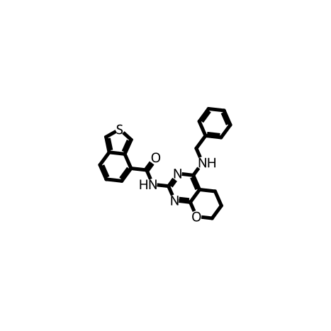 O=C(Nc1nc(NCc2ccccc2)c2c(n1)OCCC2)c1cccc2cscc12